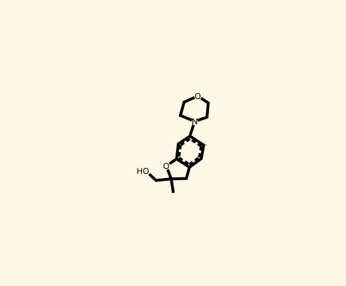 CC1(CO)Cc2c[c]c(N3CCOCC3)cc2O1